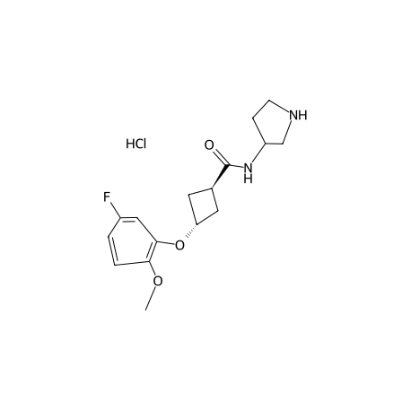 COc1ccc(F)cc1O[C@H]1C[C@H](C(=O)NC2CCNC2)C1.Cl